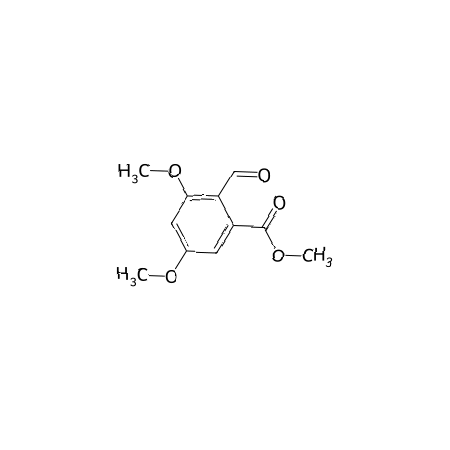 COC(=O)c1cc(OC)cc(OC)c1C=O